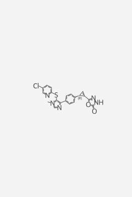 Cn1cnc(-c2ccc([C@H]3C=C3c3n[nH]c(=O)o3)cc2)c1Sc1ccc(Cl)cn1